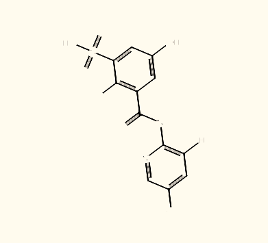 [2H]c1cnc(NC(=O)c2cc(O)cc(S(=O)(=O)O)c2O)c([2H])c1